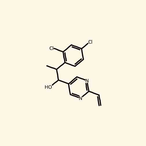 C=Cc1ncc(C(O)C(C)c2ccc(Cl)cc2Cl)cn1